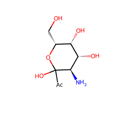 CC(=O)C1(O)O[C@H](CO)[C@H](O)[C@H](O)[C@H]1N